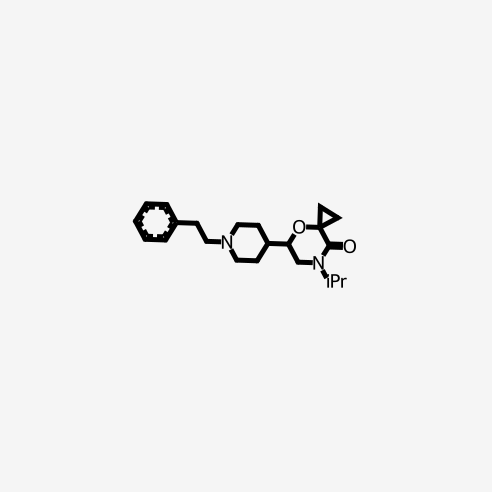 CC(C)N1CC(C2CCN(CCc3ccccc3)CC2)OC2(CC2)C1=O